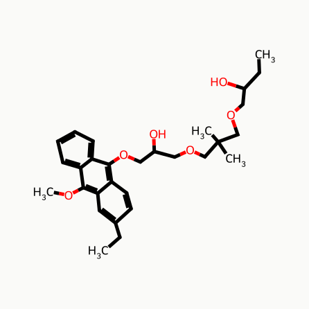 CCc1ccc2c(OCC(O)COCC(C)(C)COCC(O)CC)c3ccccc3c(OC)c2c1